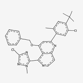 Cc1cc(C(C)(C)C)c(Cl)cc1-c1cc(OCc2ccccc2)c2c(-c3nc(Cl)nn3C)nccc2n1